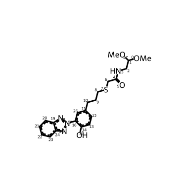 COC(CNC(=O)CSCCCc1ccc(O)c(-n2nc3ccccc3n2)c1)OC